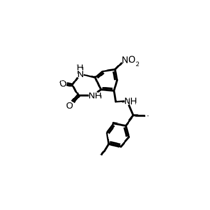 [CH2]C(NCc1cc([N+](=O)[O-])cc2[nH]c(=O)c(=O)[nH]c12)c1ccc(C)cc1